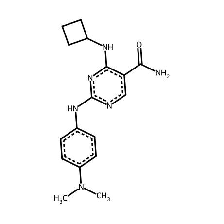 CN(C)c1ccc(Nc2ncc(C(N)=O)c(NC3CCC3)n2)cc1